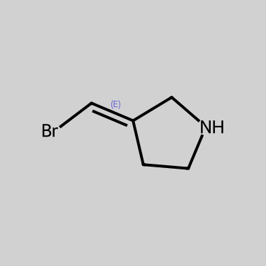 Br/C=C1\CCNC1